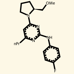 CCCc1cc(N2CCC[C@H]2COC)nc(Nc2ccc(F)cc2)n1